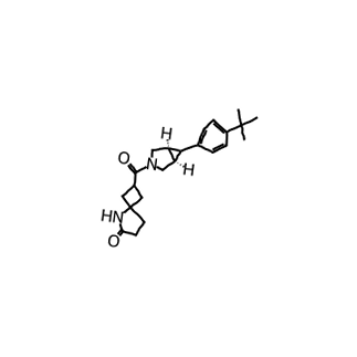 CC(C)(C)c1ccc(C2[C@H]3CN(C(=O)C4CC5(CCC(=O)N5)C4)C[C@@H]23)cc1